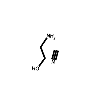 C#N.NCCO